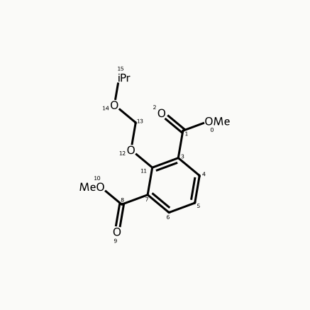 COC(=O)c1cccc(C(=O)OC)c1OCOC(C)C